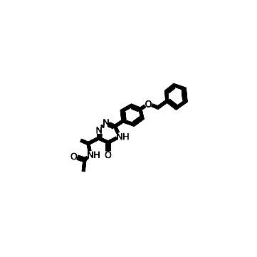 CC(=O)NC(C)c1nnc(-c2ccc(OCc3ccccc3)cc2)[nH]c1=O